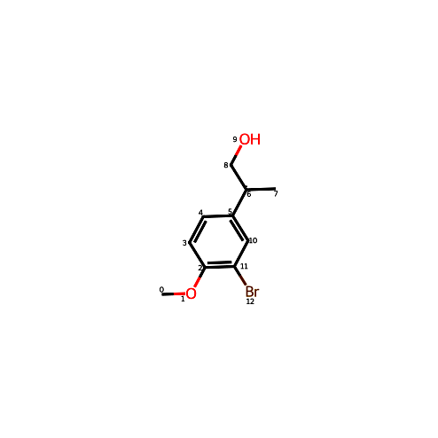 COc1ccc([C](C)CO)cc1Br